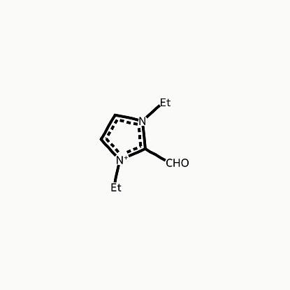 CCn1cc[n+](CC)c1C=O